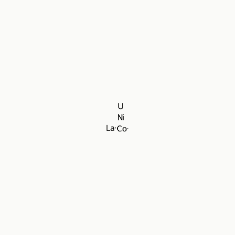 [Co].[La].[Ni].[U]